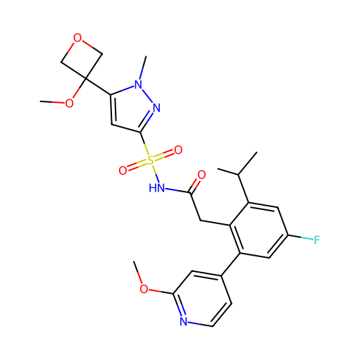 COc1cc(-c2cc(F)cc(C(C)C)c2CC(=O)NS(=O)(=O)c2cc(C3(OC)COC3)n(C)n2)ccn1